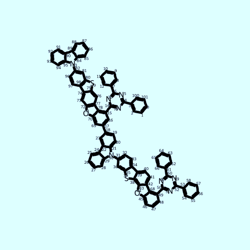 c1ccc(-c2nc(-c3ccccc3)nc(-c3cc(-c4ccc5c(c4)c4ccccc4n5-c4ccc5c(c4)sc4c5ccc5c4oc4cccc(-c6nc(-c7ccccc7)nc(-c7ccccc7)n6)c45)cc4oc5cc6c(cc5c34)sc3cc(-n4c5ccccc5c5ccccc54)ccc36)n2)cc1